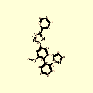 COc1cc(-n2nnc(-c3ccccn3)n2)ccc1-c1ccccc1-n1cccn1